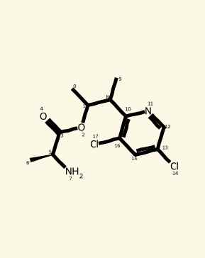 CC(OC(=O)[C@H](C)N)C(C)c1ncc(Cl)cc1Cl